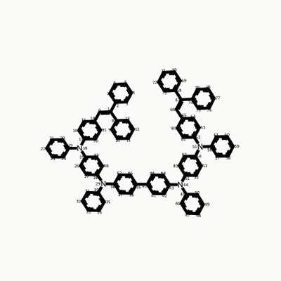 C(=C(c1ccccc1)c1ccccc1)c1ccc(N(c2ccccc2)c2ccc(N(c3ccccc3)c3ccc(-c4ccc(N(c5ccccc5)c5ccc(N(c6ccccc6)c6ccc(C=C(c7ccccc7)c7ccccc7)cc6)cc5)cc4)cc3)cc2)cc1